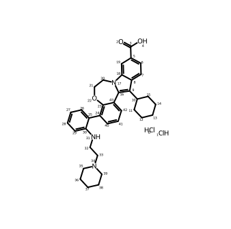 Cl.Cl.O=C(O)c1ccc2c(C3CCCCC3)c3n(c2c1)CCOc1c(-c2ccccc2NCCN2CCCCC2)cccc1-3